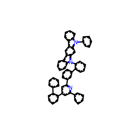 c1ccc(-c2cc(-c3ccccc3-c3ccccc3)cc(-c3cccc(-c4ccccc4-n4c5ccccc5c5cc6c7ccccc7n(-c7ccccc7)c6cc54)c3)n2)cc1